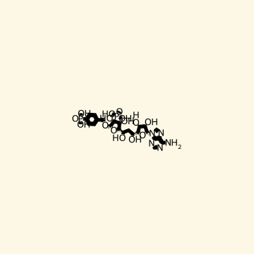 Nc1ncnc2c1ncn2[C@@H]1O[C@H](C(O)CC(O)[C@H]2O[C@@H](OCc3ccc(P(=O)(O)O)cc3)[C@@](O)(P(=O)(O)O)[C@@H]2O)[C@@H](O)[C@H]1O